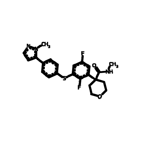 CNC(=O)C1(c2cc(F)cc(Sc3ccc(-c4ccnn4C)cc3)c2F)CCOCC1